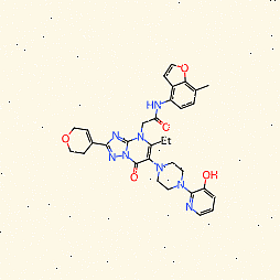 CCc1c(N2CCN(c3ncccc3O)CC2)c(=O)n2nc(C3=CCOCC3)nc2n1CC(=O)Nc1ccc(C)c2occc12